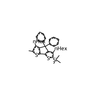 CCCCCCc1c(C)sc2c1C(c1ccccc1)(c1ccccc1)c1c-2sc([Si](C)(C)C)c1CCCCCC